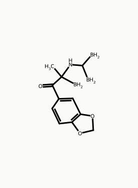 BC(B)NC(B)(C)C(=O)c1ccc2c(c1)OCO2